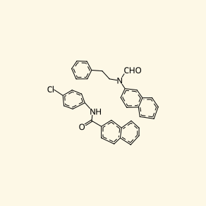 O=C(Nc1ccc(Cl)cc1)c1ccc2ccccc2c1.O=CN(CCc1ccccc1)c1ccc2ccccc2c1